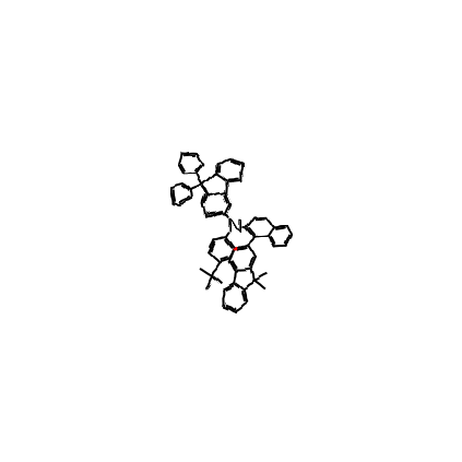 CC(C)(C)c1ccc(N(c2ccc3c(c2)-c2ccccc2C3(c2ccccc2)c2ccccc2)c2ccc3ccccc3c2-c2ccc3c(c2)C(C)(C)c2ccccc2-3)cc1